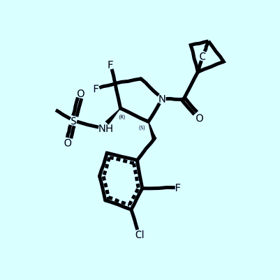 CS(=O)(=O)N[C@@H]1[C@H](Cc2cccc(Cl)c2F)N(C(=O)C23CC(C2)C3)CC1(F)F